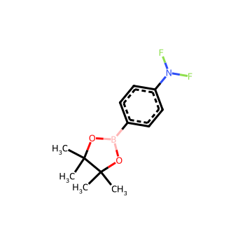 CC1(C)OB(c2ccc(N(F)F)cc2)OC1(C)C